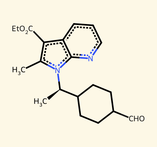 CCOC(=O)c1c(C)n([C@H](C)C2CCC(C=O)CC2)c2ncccc12